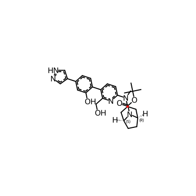 CN(c1ccc(-c2ccc(-c3cn[nH]c3)cc2O)c(CO)n1)C1C[C@H]2CC[C@@H](C1)N2C(=O)OC(C)(C)C